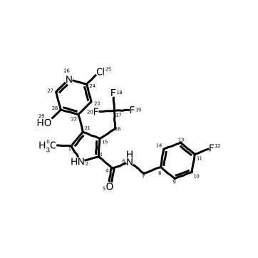 Cc1[nH]c(C(=O)NCc2ccc(F)cc2)c(CC(F)(F)F)c1-c1cc(Cl)ncc1O